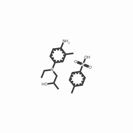 CCN(CC(C)O)c1ccc(N)c(C)c1.Cc1ccc(S(=O)(=O)O)cc1